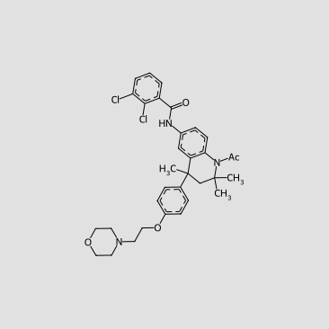 CC(=O)N1c2ccc(NC(=O)c3cccc(Cl)c3Cl)cc2C(C)(c2ccc(OCCN3CCOCC3)cc2)CC1(C)C